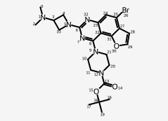 CN(C)C1CN(c2nc(N3CCN(C(=O)OC(C)(C)C)CC3)c3c(cc(Br)c4ccoc43)n2)C1